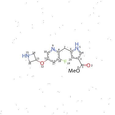 COC(=O)c1c[nH]c(Cc2ncc(OC3CNC3)cc2F)c1